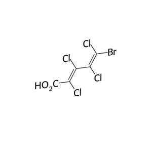 O=C(O)/C(Cl)=C(Cl)/C(Cl)=C(\Cl)Br